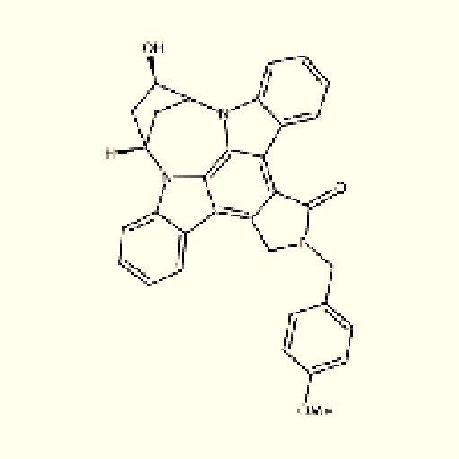 COc1ccc(CN2Cc3c(c4c5ccccc5n5c4c4c3c3ccccc3n4[C@H]3CC5[C@H](O)C3)C2=O)cc1